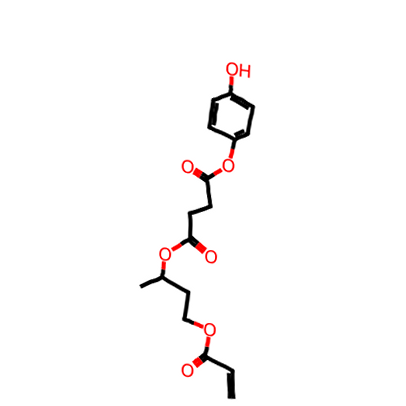 C=CC(=O)OCCC(C)OC(=O)CCC(=O)Oc1ccc(O)cc1